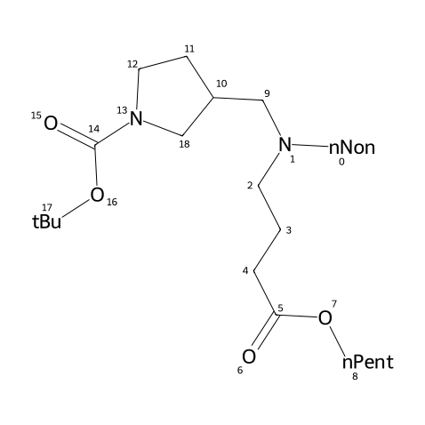 CCCCCCCCCN(CCCC(=O)OCCCCC)CC1CCN(C(=O)OC(C)(C)C)C1